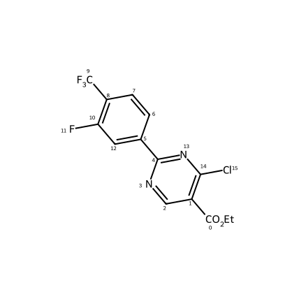 CCOC(=O)c1cnc(-c2ccc(C(F)(F)F)c(F)c2)nc1Cl